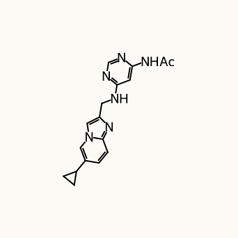 CC(=O)Nc1cc(NCc2cn3cc(C4CC4)ccc3n2)ncn1